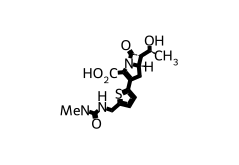 CNC(=O)NCc1ccc(C2=C(C(=O)O)N3C(=O)[C@H]([C@@H](C)O)[C@H]3C2)s1